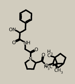 CC1(C)C2CCC1(C)C(OC(=O)C1CCCN1C(=O)CNC(=O)C(CC1=CCCC=C1)N=O)C2